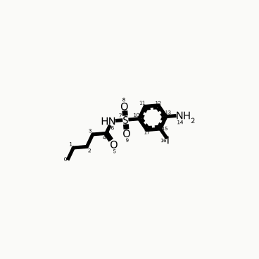 CCCCC(=O)NS(=O)(=O)c1ccc(N)c(I)c1